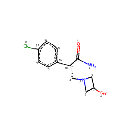 NC(=O)[C@H](CN1CC(O)C1)c1ccc(Cl)cc1